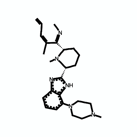 C=C/C=C(C)\C(=N/C)[C@@H]1CCC[C@H](c2nc3cccc(N4CCN(C)CC4)c3[nH]2)N1C